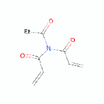 C=CC(=O)N(C(=O)C=C)C(=O)CC